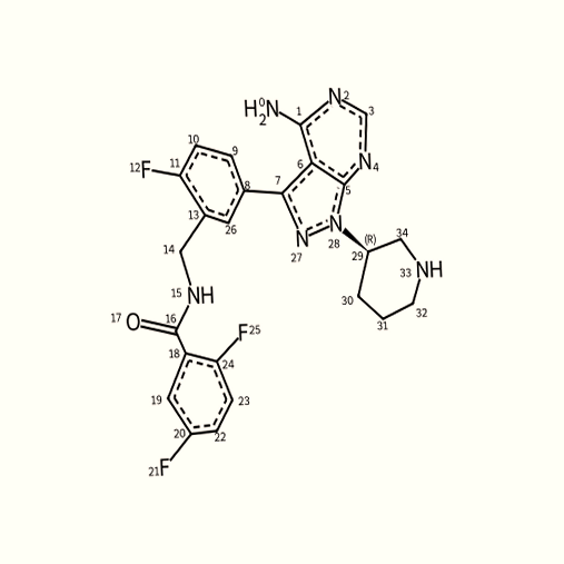 Nc1ncnc2c1c(-c1ccc(F)c(CNC(=O)c3cc(F)ccc3F)c1)nn2[C@@H]1CCCNC1